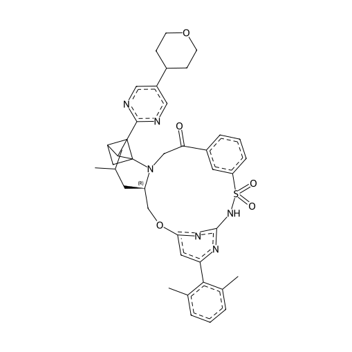 Cc1cccc(C)c1-c1cc2nc(n1)NS(=O)(=O)c1cccc(c1)C(=O)CN(C13CC(C1)C3c1ncc(C3CCOCC3)cn1)[C@H](CC(C)C)CO2